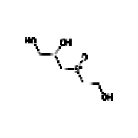 [O-][S+](CCO)CC(O)CO